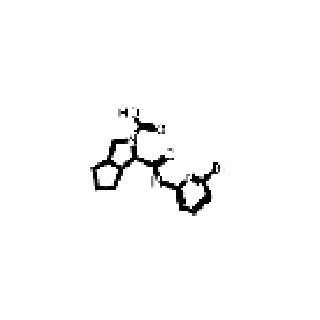 O=C(Nc1cccc(Br)n1)C1C2CCCC2CN1C(=O)O